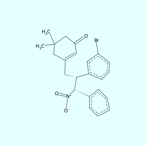 CC1(C)CC(=O)C=C(C[C@H](c2cccc(Br)c2)[C@H](c2ccccc2)[N+](=O)[O-])C1